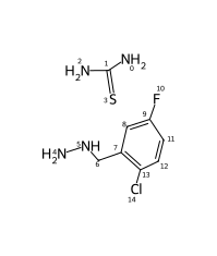 NC(N)=S.NNCc1cc(F)ccc1Cl